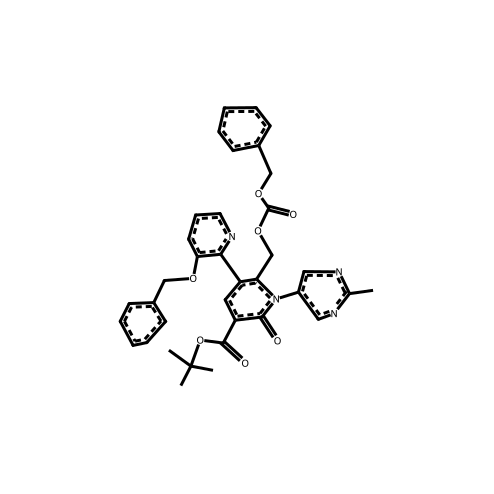 Cc1ncc(-n2c(COC(=O)OCc3ccccc3)c(-c3ncccc3OCc3ccccc3)cc(C(=O)OC(C)(C)C)c2=O)cn1